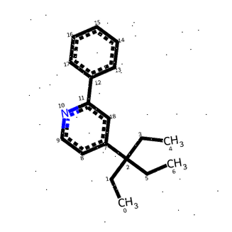 CCC(CC)(CC)c1ccnc(-c2ccccc2)c1